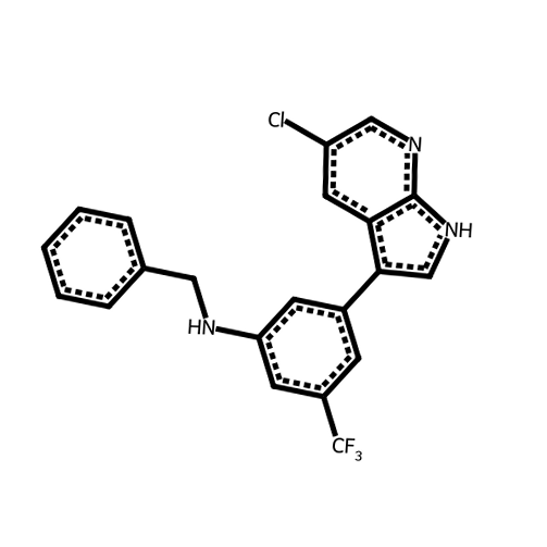 FC(F)(F)c1cc(NCc2ccccc2)cc(-c2c[nH]c3ncc(Cl)cc23)c1